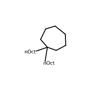 CCCCCCCCC1(CCCCCCCC)CCCCCC1